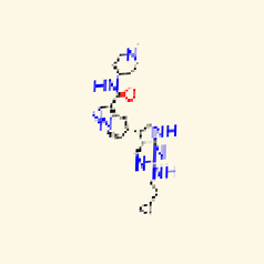 CN1CCC(NC(=O)c2cnn3ccc(-c4c[nH]c5nc(NCCC6CC6)ncc45)cc23)CC1